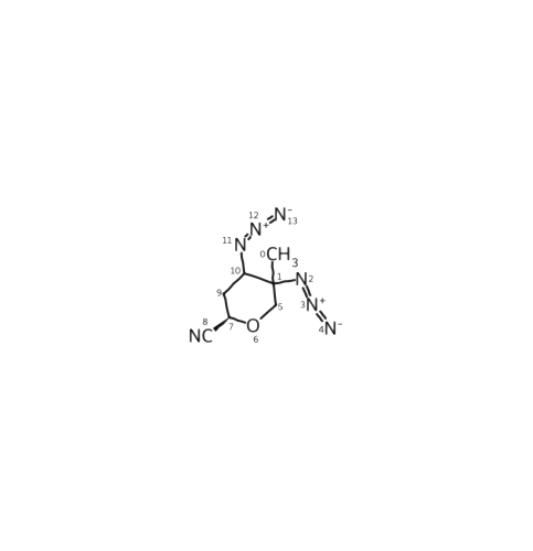 CC1(N=[N+]=[N-])CO[C@@H](C#N)CC1N=[N+]=[N-]